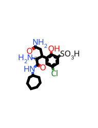 NC(=O)CC(c1cc(Cl)cc(S(=O)(=O)O)c1O)[C@H](N)C(=O)NC1CCCCCC1